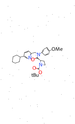 COc1ccc(N(Cc2ccc(C3CCCCC3)cn2)C(=O)[C@H]2CCN2C(=O)OC(C)(C)C)cc1